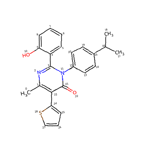 Cc1nc(-c2ccccc2O)n(-c2ccc(C(C)C)cc2)c(=O)c1-c1cccs1